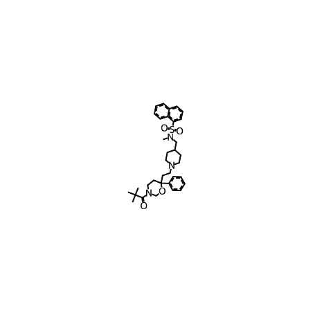 CN(CC1CCN(CCC2(c3ccccc3)CCN(C(=O)C(C)(C)C)CO2)CC1)S(=O)(=O)c1cccc2ccccc12